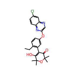 CCc1ccc(Oc2cnc3cc(Cl)ccc3n2)cc1C1=C(O)C(C)(C)OC(C)(C)C1=O